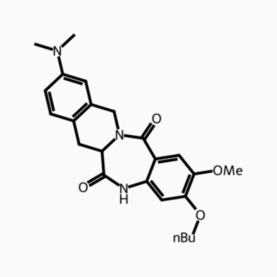 CCCCOc1cc2c(cc1OC)C(=O)N1Cc3cc(N(C)C)ccc3CC1C(=O)N2